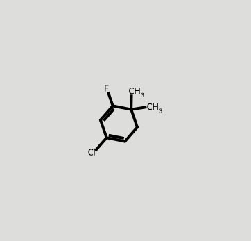 CC1(C)CC=C(Cl)C=C1F